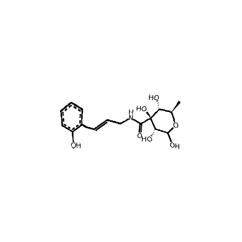 C[C@H]1OC(O)[C@H](O)[C@](O)(C(=O)NCC=Cc2ccccc2O)[C@@H]1O